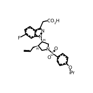 C=CC[C@@H]1CN(S(=O)(=O)c2ccc(OC(C)C)cc2)C[C@@H]1n1nc(CC(=O)O)c2ccc(F)cc21